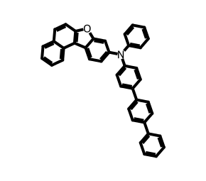 c1ccc(-c2ccc(-c3ccc(N(c4ccccc4)c4ccc5c(c4)oc4ccc6ccccc6c45)cc3)cc2)cc1